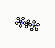 c1ccc(-c2c(-c3ccccc3)c(-c3ccccc3)n(-c3ccc([Si](c4ccccc4)(c4ccccc4)c4ccc(-n5c(-c6ccccc6)c(-c6ccccc6)c(-c6ccccc6)c5-c5ccccc5)cc4)cc3)c2-c2ccccc2)cc1